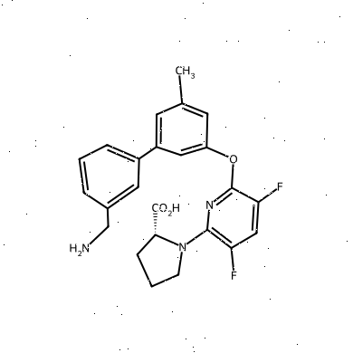 Cc1cc(Oc2nc(N3CCC[C@@H]3C(=O)O)c(F)cc2F)cc(-c2cccc(CN)c2)c1